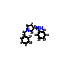 c1ccc(CN2CC[C@H](Nc3ccccc3)C2)cc1